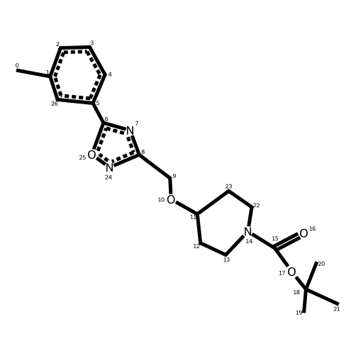 Cc1cccc(-c2nc(COC3CCN(C(=O)OC(C)(C)C)CC3)no2)c1